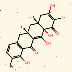 CC(=O)C1=C(O)C[C@H]2C[C@H]3Cc4ccc(C(C)C)c(O)c4C(=O)C3=C(O)[C@@]2(O)C1=O